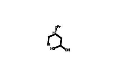 CCC[C@@H](CBr)CC(O)O